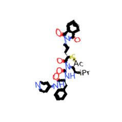 CC(=O)S[C@@H](CCCN1C(=O)c2ccccc2C1=O)C(=O)N(CCC(C)C)C(=O)N[C@@H](Cc1ccccc1)C(=O)Nc1ccncc1